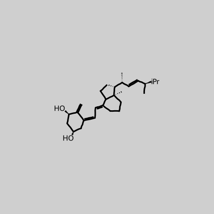 C=C1C(=CC=C2CCC[C@@]3(C)C2CC[C@@H]3[C@H](C)C=C[C@H](C)C(C)C)C[C@@H](O)C[C@H]1O